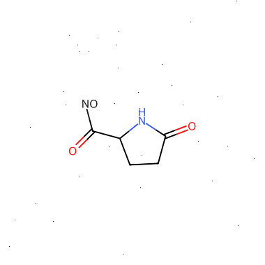 O=NC(=O)C1CCC(=O)N1